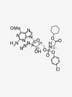 COc1nc(N)nc2c1ncn2[C@@H]1O[C@H](COP(=O)(N[C@@H](C)C(=O)OC2CCCCC2)Oc2ccc(Cl)cc2)[C@@H](O)[C@@]1(C)N=[N+]=[N-]